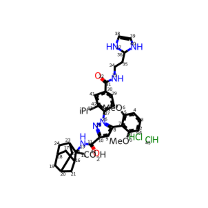 COc1cccc(OC)c1-c1cc(C(=O)NC2(C(=O)O)C3CC4CC(C3)CC2C4)nn1-c1ccc(C(=O)NCCC2NC=CN2)cc1C(C)C.Cl.Cl